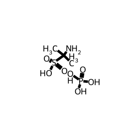 CC(C)(N)S(=O)(=O)O.O=P(O)(O)O